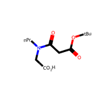 CCCN(CC(=O)O)C(=O)CC(=O)OC(C)(C)C